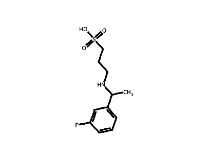 CC(NCCCS(=O)(=O)O)c1cccc(F)c1